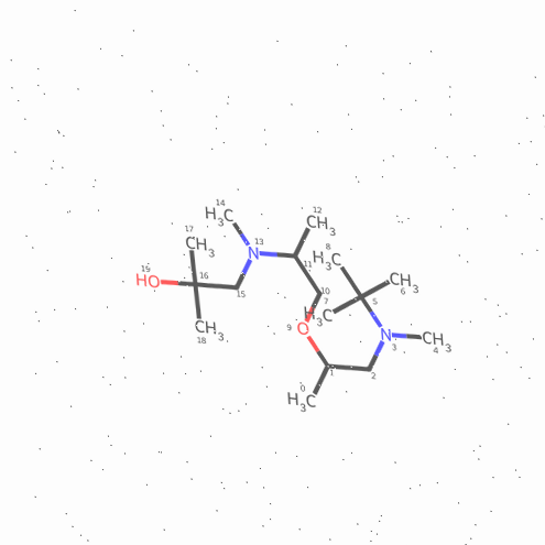 CC(CN(C)C(C)(C)C)OCC(C)N(C)CC(C)(C)O